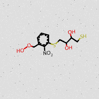 O=[N+]([O-])c1c(COO)cccc1SCC(O)C(O)CS